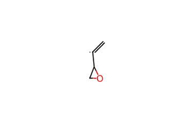 C=[C]C1CO1